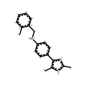 Cc1nc(-c2ccc(NCc3ccccc3C)cc2)c(C)s1